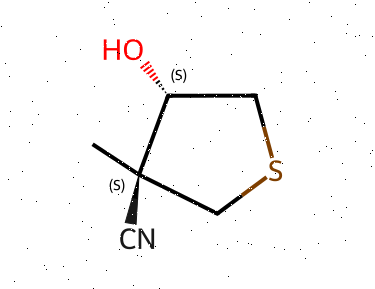 C[C@@]1(C#N)CSC[C@H]1O